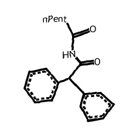 CCCCCC(=O)NC(=O)C(c1ccccc1)c1ccccc1